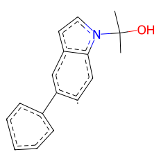 CC(C)(O)n1ccc2cc(-c3ccccc3)[c]cc21